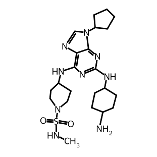 CNS(=O)(=O)N1CCC(Nc2nc(NC3CCC(N)CC3)nc3c2ncn3C2CCCC2)CC1